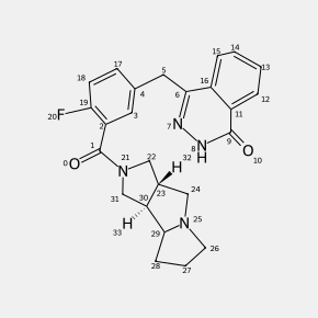 O=C(c1cc(Cc2n[nH]c(=O)c3ccccc23)ccc1F)N1C[C@@H]2CN3CCCC3[C@H]2C1